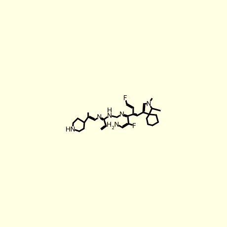 C=C/C(=N\C=C(/C)C1CCNCC1)NC/N=C(C(\F)=C/N)/C(/C=C/F)=C/C1=CN(C)C(C)C12CCCCC2